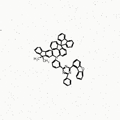 CC1(C)c2ccccc2-c2ccc(N(c3cccc(-c4nc(-c5ccccc5)nc(-c5cccc6oc7ccccc7c56)n4)c3)c3cccc4c3-c3ccccc3C43c4ccccc4-c4ccccc43)cc21